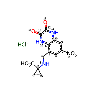 Cl.O=C(O)C1(NCc2cc([N+](=O)[O-])cc3[nH]c(=O)c(=O)[nH]c23)CC1